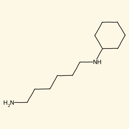 NCCCCCCNC1CCCCC1